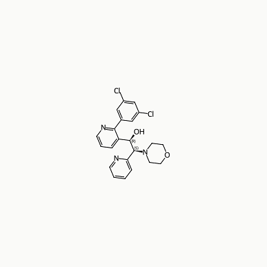 O[C@H](c1cccnc1-c1cc(Cl)cc(Cl)c1)[C@H](c1ccccn1)N1CCOCC1